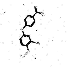 COc1ccc(Nc2ccc(C(C)=O)cc2)cc1C